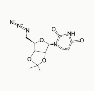 CC1(C)OC2C(O1)[C@@H](CN=[N+]=[N-])O[C@H]2n1ccc(=O)[nH]c1=O